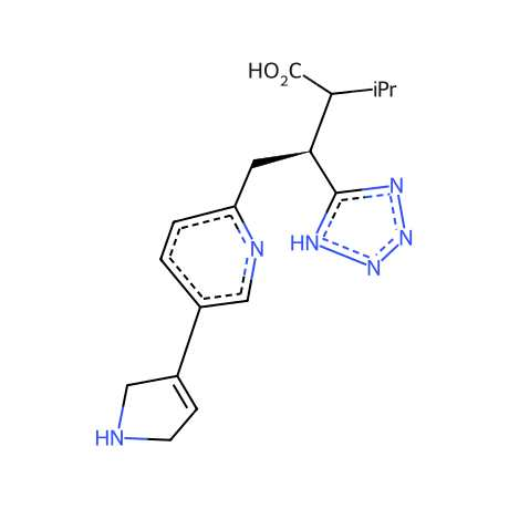 CC(C)C(C(=O)O)[C@H](Cc1ccc(C2=CCNC2)cn1)c1nnn[nH]1